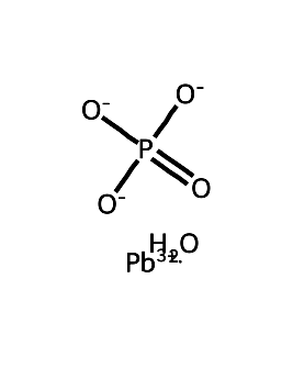 O.O=P([O-])([O-])[O-].[Pb+3]